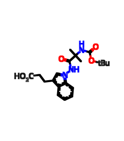 CC(C)(C)OC(=O)NC(C)(C)C(=O)Nn1cc(CCC(=O)O)c2ccccc21